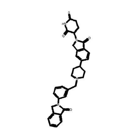 O=C1CCC(N2Cc3cc(C4CCN(Cc5cccc(N6Cc7ccccc7C6=O)c5)CC4)ccc3C2=O)C(=O)N1